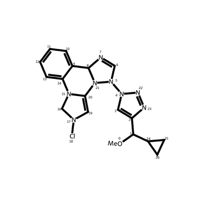 COC(c1cn(N2C=NC3c4ccccc4N4CN(Cl)C=C4N32)nn1)C1CC1